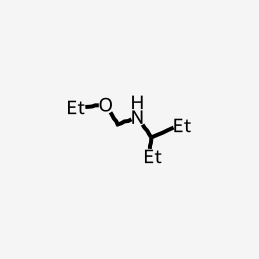 CCOCNC(CC)CC